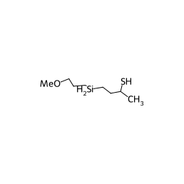 COCCC[SiH2]CCC(C)S